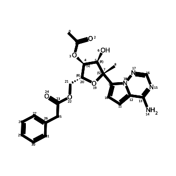 CC(=O)O[C@H]1[C@@H](O)[C@](C)(c2ccc3c(N)ncnn23)O[C@@H]1COC(=O)Cc1ccccc1